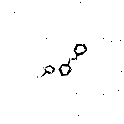 NC1=N[C@@H](c2cccc(OCc3ccccc3)c2)CO1